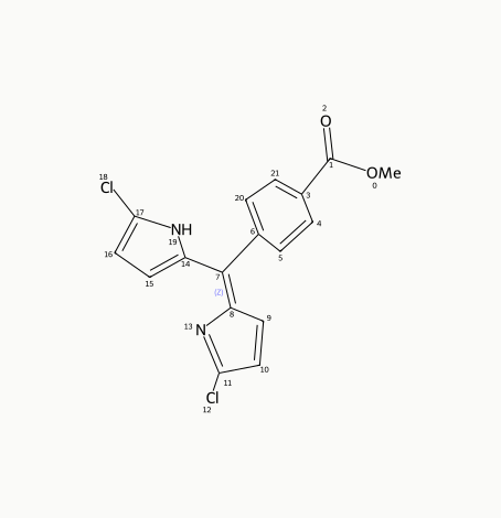 COC(=O)c1ccc(/C(=C2\C=CC(Cl)=N2)c2ccc(Cl)[nH]2)cc1